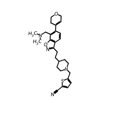 CN(C)Cc1c(C2=CCOCC2)ccc2c(CCC3CCN(Cc4ccc(C#N)s4)CC3)noc12